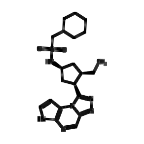 CC[C@@H]1C[C@H](NS(=O)(=O)CC2CCCCC2)C[C@@H]1c1nnc2cnc3[nH]ccc3n12